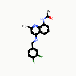 Cc1cc(NCc2ccc(Cl)c(Cl)c2)c2cccc(NC(=O)C(C)C)c2n1